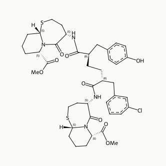 COC(=O)[C@@H]1CCC[C@@H]2SCC[C@H](NC(=O)[C@H](CC[C@H](Cc3cccc(Cl)c3)C(=O)N[C@H]3CCS[C@H]4CCC[C@@H](C(=O)OC)N4C3=O)Cc3ccc(O)cc3)C(=O)N21